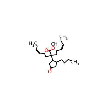 CC/C=C\CCC(CC/C=C\CC)(C(=O)OC)C1CC(=O)CC1CCCC